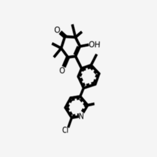 Cc1ccc(-c2ccc(Cl)nc2C)cc1C1=C(O)C(C)(C)C(=O)C(C)(C)C1=O